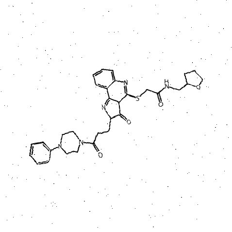 O=C(CSC1=Nc2ccccc2C2=NC(CCC(=O)N3CCN(c4ccccc4)CC3)C(=O)C12)NCC1CCCO1